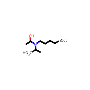 CCCCCCCCCCCCN(C(C)O)C(C)C(=O)O